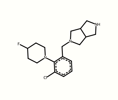 FC1CCN(c2c(Cl)cccc2CN2CC3CNCC3C2)CC1